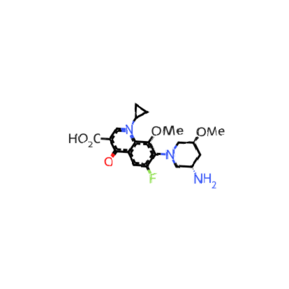 COc1c(N2C[C@@H](N)C[C@H](OC)C2)c(F)cc2c(=O)c(C(=O)O)cn(C3CC3)c12